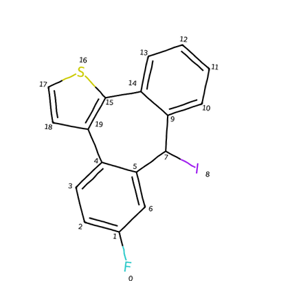 Fc1ccc2c(c1)C(I)c1ccccc1-c1sccc1-2